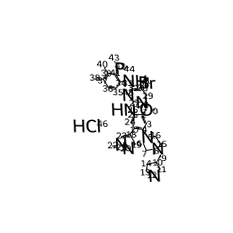 COc1cc(N2CCN(C[C@H]3C=NCC3)CC2)c(-c2cnn(C)c2)cc1Nc1ncc(Br)c(Nc2ccc(C)c(C)c2P(C)C)n1.Cl